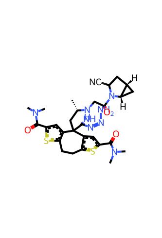 C[C@@H](CC1(C(=N)/N=N\N)c2cc(C(=O)N(C)C)sc2CCc2sc(C(=O)N(C)C)cc21)NCC(=O)N1C(C#N)C[C@@H]2C[C@@H]21